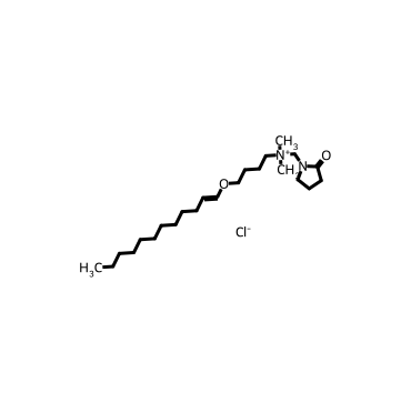 CCCCCCCCCCC=COCCCC[N+](C)(C)CN1CCCC1=O.[Cl-]